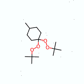 CC1CCC(OOC(C)(C)C)(OOC(C)(C)C)CC1